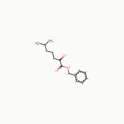 CC(C)CCCC(=O)C(=O)OCc1ccccc1